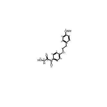 COc1ccc(CCOc2ccc(N(Cl)C(=O)NO)cc2)cc1